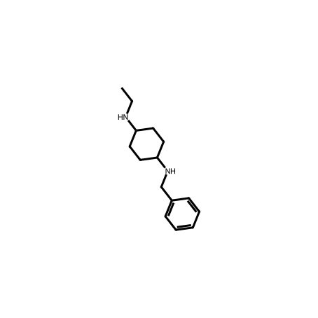 CCNC1CCC(NCc2ccccc2)CC1